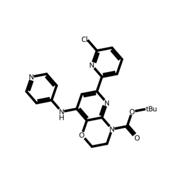 CC(C)(C)OC(=O)N1CCOc2c(Nc3ccncc3)cc(-c3cccc(Cl)n3)nc21